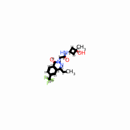 CCc1nn(CC(=O)N[C@H]2C[C@@](C)(O)C2)c(=O)c2ccc(C(F)(F)F)cc12